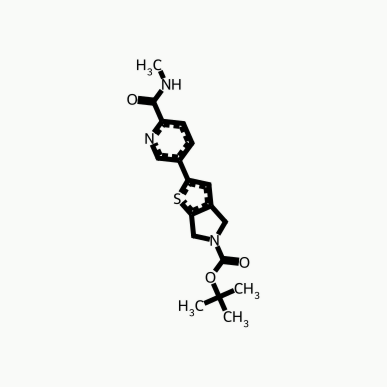 CNC(=O)c1ccc(-c2cc3c(s2)CN(C(=O)OC(C)(C)C)C3)cn1